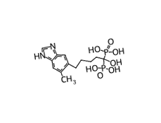 Cc1cc2[nH]cnc2cc1CCCCC(O)(P(=O)(O)O)P(=O)(O)O